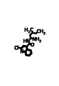 CCC(C)CC(N)NC(=O)c1cc(Cl)nc2ccccc12